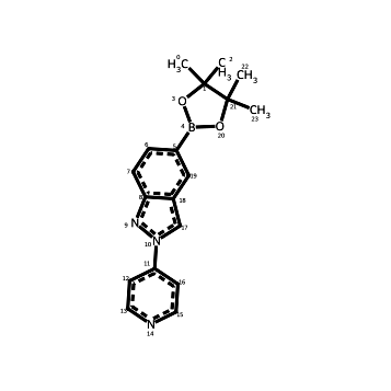 CC1(C)OB(c2ccc3nn(-c4ccncc4)cc3c2)OC1(C)C